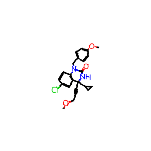 COCC#CC1(C2CC2)NC(=O)N(Cc2ccc(OC)cc2)c2ccc(Cl)cc21